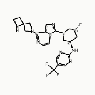 F[C@@H]1C[C@@H](Nc2ncc(C(F)(F)F)cn2)CN(c2ncc3c(N4CC5(CCN5)C4)nccn23)C1